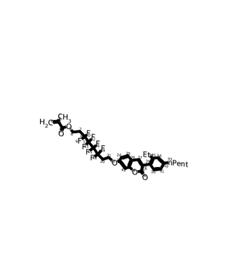 C=C(C)C(=O)OCCC(F)(F)C(F)(F)C(F)(F)C(F)(F)CCOc1ccc2cc(-c3ccc(CCCCC)cc3CC)c(=O)oc2c1